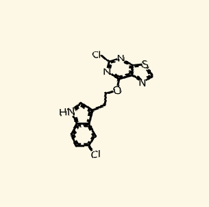 Clc1ccc2[nH]cc(CCOc3nc(Cl)nc4scnc34)c2c1